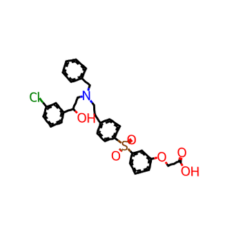 O=C(O)COc1cccc(S(=O)(=O)c2ccc(CCN(Cc3ccccc3)CC(O)c3cccc(Cl)c3)cc2)c1